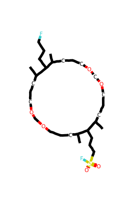 CC1CCCOCOCCCC(C)C(CCCS(=O)(=O)F)C(C)CCCOCOCCCC(C)C1CCCF